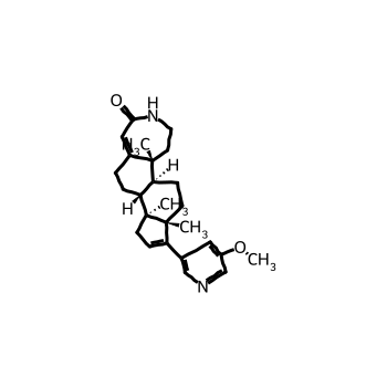 COc1cncc(C2=CC[C@@]3(C)[C@@H]4CCC5=CC(=O)NCC[C@]5(C)[C@H]4CC[C@]23C)c1